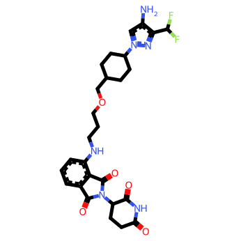 Nc1cn(C2CCC(COCCCNc3cccc4c3C(=O)N(C3CCC(=O)NC3=O)C4=O)CC2)nc1C(F)F